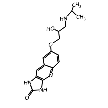 CC(C)NCC(O)COc1ccc2nc3[nH]c(=O)[nH]c3cc2c1